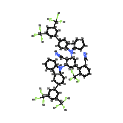 N#Cc1cccc(C(F)(F)F)c1-c1cc(-n2c3ccccc3c3cc(-c4cc(C(F)(F)F)cc(C(F)(F)F)c4)ccc32)c(C#N)c(-n2c3ccccc3c3cc(-c4cc(C(F)(F)F)cc(C(F)(F)F)c4)ccc32)c1